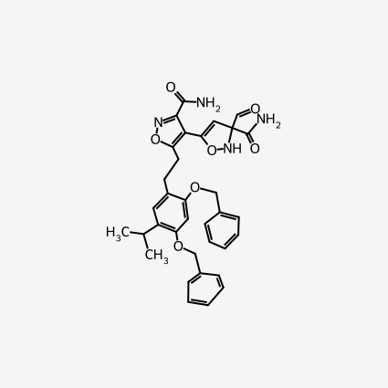 CC(C)c1cc(CCc2onc(C(N)=O)c2C2=CC(C=O)(C(N)=O)NO2)c(OCc2ccccc2)cc1OCc1ccccc1